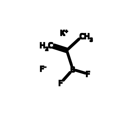 C=C(C)B(F)F.[F-].[K+]